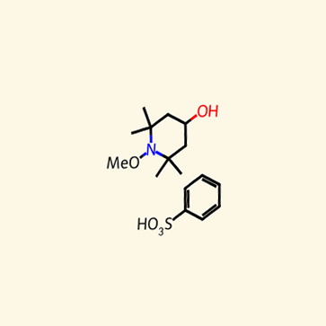 CON1C(C)(C)CC(O)CC1(C)C.O=S(=O)(O)c1ccccc1